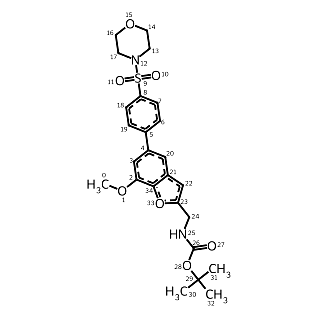 COc1cc(-c2ccc(S(=O)(=O)N3CCOCC3)cc2)cc2cc(CNC(=O)OC(C)(C)C)oc12